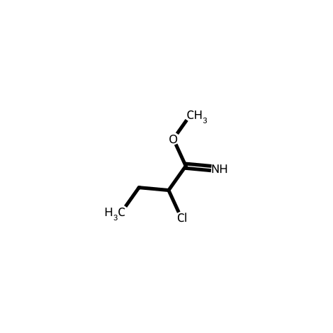 CCC(Cl)C(=N)OC